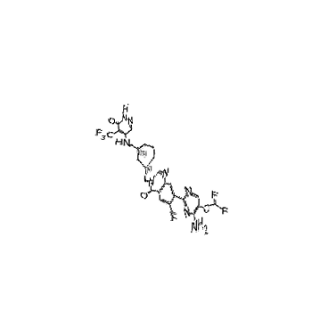 Nc1nc(-c2cc3ncn(C[C@@H]4CCC[C@H](Nc5cn[nH]c(=O)c5C(F)(F)F)C4)c(=O)c3cc2F)ncc1OC(F)F